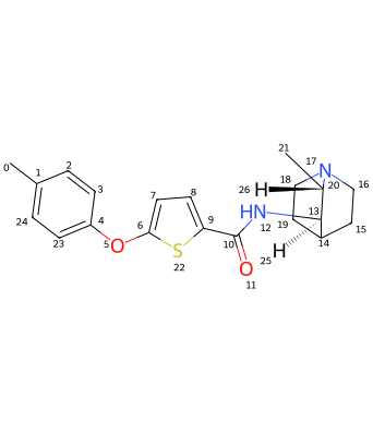 Cc1ccc(Oc2ccc(C(=O)N[C@@H]3C4CCN(CC4)[C@H]3C)s2)cc1